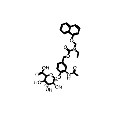 CCN(COc1cccc2ccccc12)C(=O)OCc1ccc(O[C@H]2OC(C(=O)O)C(O)[C@H](O)C2O)c(NC(C)=O)c1